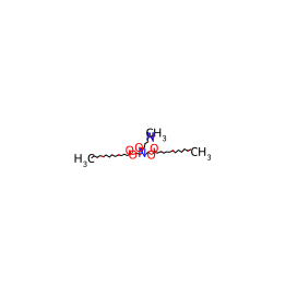 CCCCCCCCCCCCCC(=O)OCCN(CCOC(=O)CCCCCCCCCCCCC)C(=O)CCCCN(C)I